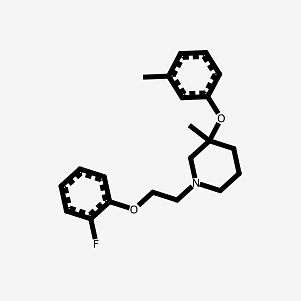 Cc1cccc(OC2(C)CCCN(CCOc3ccccc3F)C2)c1